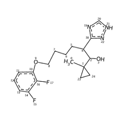 CC1(C(O)C(CCCCOc2cccc(F)c2F)c2nc[nH]n2)CC1